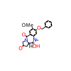 COc1cc2c(cc1OCc1ccccc1)N(C)[C@@H](O)[C@@H]1CC(=O)CN1C2=O